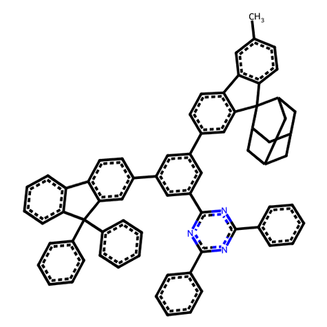 Cc1ccc2c(c1)-c1ccc(-c3cc(-c4ccc5c(c4)C(c4ccccc4)(c4ccccc4)c4ccccc4-5)cc(-c4nc(-c5ccccc5)nc(-c5ccccc5)n4)c3)cc1C21C2CC3CC(C2)CC1C3